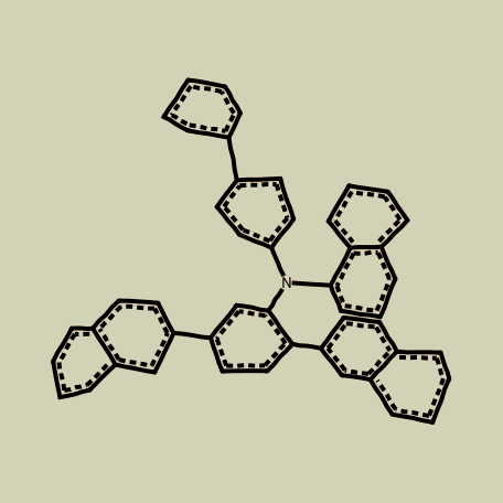 c1ccc(-c2ccc(N(c3cc(-c4ccc5ccccc5c4)ccc3-c3ccc4ccccc4c3)c3cccc4ccccc34)cc2)cc1